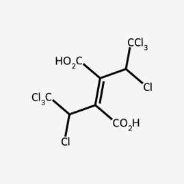 O=C(O)C(=C(C(=O)O)C(Cl)C(Cl)(Cl)Cl)C(Cl)C(Cl)(Cl)Cl